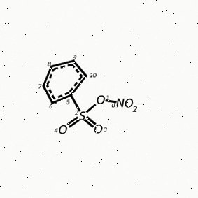 O=[N+]([O-])OS(=O)(=O)c1[c]cccc1